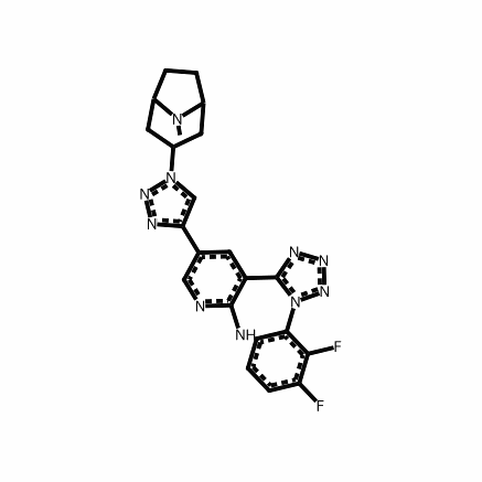 CN1C2CCC1CC(n1cc(-c3cnc(N)c(-c4nnnn4-c4cccc(F)c4F)c3)nn1)C2